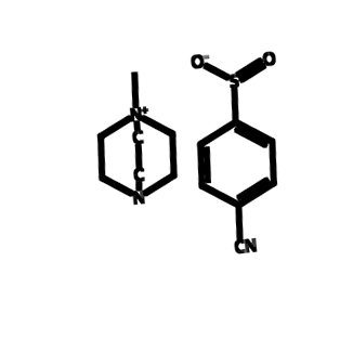 C[N+]12CCN(CC1)CC2.N#Cc1ccc(S(=O)[O-])cc1